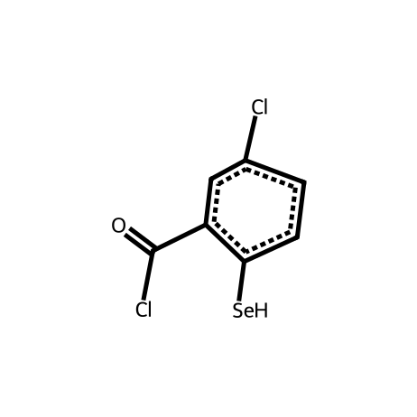 O=C(Cl)c1cc(Cl)ccc1[SeH]